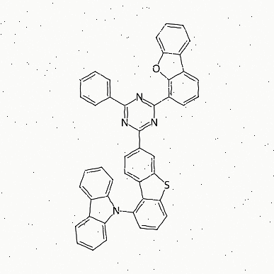 c1ccc(-c2nc(-c3ccc4c(c3)sc3cccc(-n5c6ccccc6c6ccccc65)c34)nc(-c3cccc4c3oc3ccccc34)n2)cc1